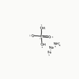 O=P([O-])(O)O.[Fe].[NH4+].[Na]